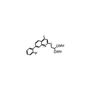 COC(CSc1cc(C)c2ccc(-c3ccccc3F)cc2n1)OC